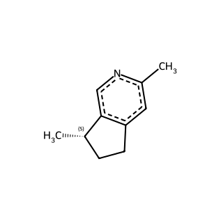 Cc1cc2c(cn1)[C@@H](C)CC2